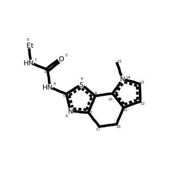 CCNC(=O)Nc1nc2c(s1)-c1c(ccn1C)CC2